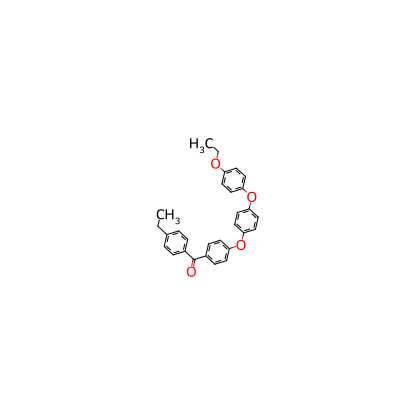 CCOc1ccc(Oc2ccc(Oc3ccc(C(=O)c4ccc(CC)cc4)cc3)cc2)cc1